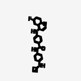 O=C(Nc1ccc(NC23CC(C2)C3)cc1)c1ccc(Nc2ccnc3ccc(F)cc23)cc1